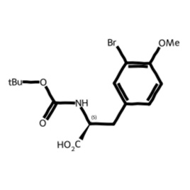 COc1ccc(C[C@H](NC(=O)OC(C)(C)C)C(=O)O)cc1Br